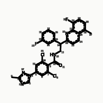 Cc1ncn(-c2cc(Cl)c(C(=O)NCC(c3cccc(F)c3)c3ccc4c(C)ccc(F)c4n3)c(Cl)c2)n1